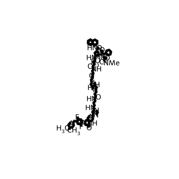 CN[C@@H](C)C(=O)N[C@H](C(=O)N1C[C@@H](NC(=O)CCC(=O)NCCOCCN2C[C@@H]3CN(CCC(=O)NCCCNc4cc(N5CCC6(CC5)CN(c5cc(F)c(CN7CCC(C)(C)CC7)cc5F)CC(=O)N6)ncn4)C[C@@H]3C2)C[C@H]1C(=O)N[C@H]1CCCc2ccccc21)C1CCCCC1